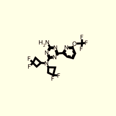 Nc1nc(-c2cccc(OC(F)(F)F)n2)nc(N(C2CC(F)(F)C2)C2CC(F)(F)C2)n1